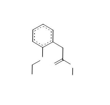 CCOc1ccccc1CC(=O)OC